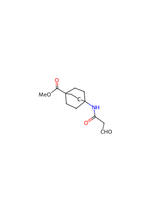 COC(=O)C12CCC(NC(=O)CC=O)(CC1)CC2